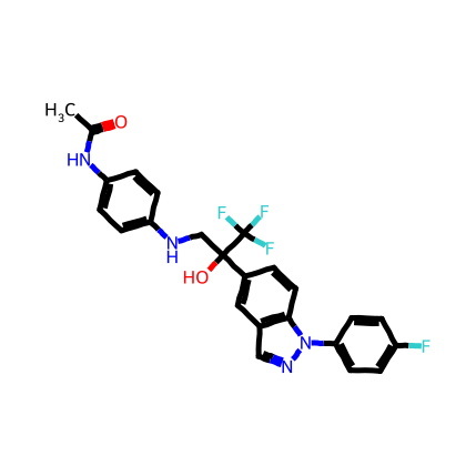 CC(=O)Nc1ccc(NCC(O)(c2ccc3c(cnn3-c3ccc(F)cc3)c2)C(F)(F)F)cc1